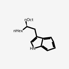 CCCCCCCC[C@H](CCCCCC)Cc1c[nH]c2ccccc12